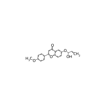 C=CC(O)Oc1ccc2oc(-c3ccc(OC)cc3)cc(=O)c2c1